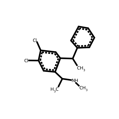 CNC(C)c1cc(Cl)c(Cl)cc1C(C)c1ccccc1